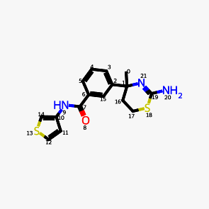 CC1(c2cccc(C(=O)Nc3ccsc3)c2)CCSC(N)=N1